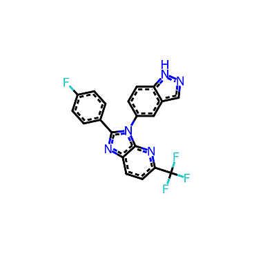 Fc1ccc(-c2nc3ccc(C(F)(F)F)nc3n2-c2ccc3[nH]ncc3c2)cc1